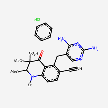 C#Cc1ccc2c(c1Cc1cnc(N)nc1N)C(=O)C(OC)(C(=O)O)C(OC)N2CC.Cl.c1ccccc1